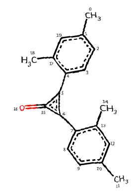 Cc1ccc(-c2c(-c3ccc(C)cc3C)c2=O)c(C)c1